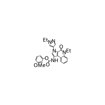 CCn1cc(-n2cc(NC(=O)Oc3ccccc3OC)c3c4ccccc4n(CC)c(=O)c32)cn1